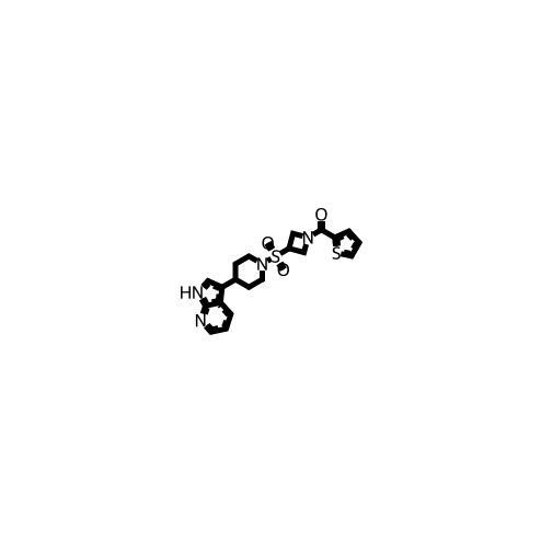 O=C(c1cccs1)N1CC(S(=O)(=O)N2CCC(c3c[nH]c4ncccc34)CC2)C1